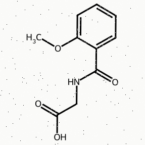 COc1ccccc1C(=O)NCC(=O)O